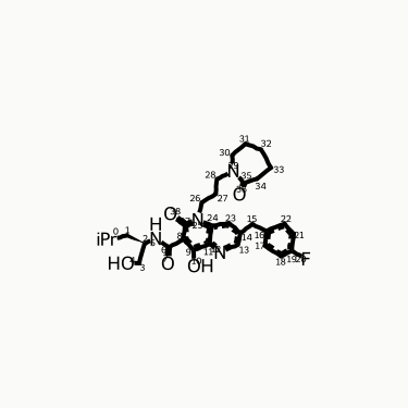 CC(C)C[C@H](CO)NC(=O)c1c(O)c2ncc(Cc3ccc(F)cc3)cc2n(CCCN2CCCCCC2=O)c1=O